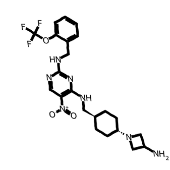 NC1CN([C@H]2CC[C@H](CNc3nc(NCc4ccccc4OC(F)(F)F)ncc3[N+](=O)[O-])CC2)C1